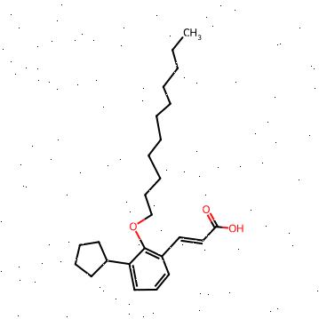 CCCCCCCCCCCOc1c(C=CC(=O)O)cccc1C1CCCC1